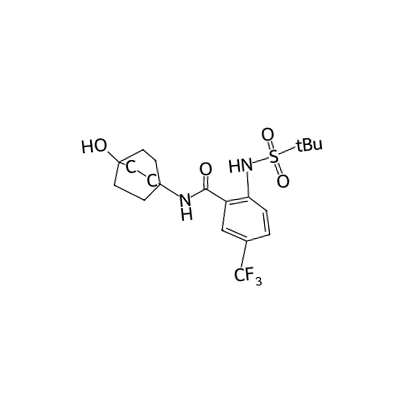 CC(C)(C)S(=O)(=O)Nc1ccc(C(F)(F)F)cc1C(=O)NC12CCC(O)(CC1)CC2